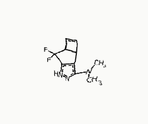 CN(C)c1n[nH]c2c1C1C=CC1C2(F)F